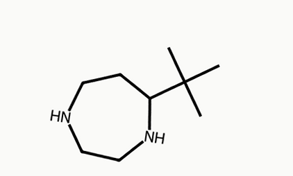 CC(C)(C)C1CCNCCN1